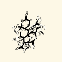 C=C1C23O[C@@]4(COC(=O)[C@]4(C)[C@]2(C)[C@@H](O)C[C@]12CCC(=O)OC2(C)C)C(=O)O[C@](C)(C(=C)C)[C@@H]3OC(C)=O